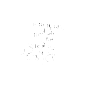 Cc1ccccc1-n1c([C@@H](CNc2nc(N)nc(N)c2C#N)C2CC2)nc2cccc(C)c2c1=O